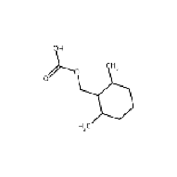 CC1CCCC(C)C1COC(=O)O